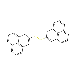 C1=C(SSC2=Cc3cccc4cccc(c34)C2)Cc2cccc3cccc1c23